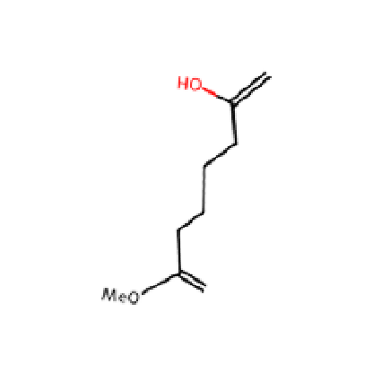 C=C(O)CCCCC(=C)OC